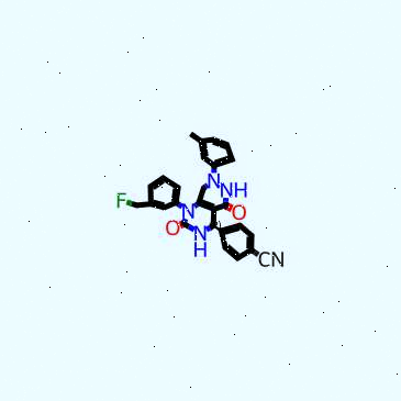 Cc1cccc(N2CC3=C(C(=O)N2)[C@@H](c2ccc(C#N)cc2)NC(=O)N3c2cccc(CF)c2)c1